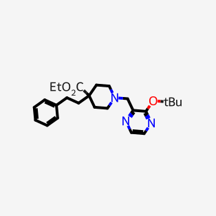 CCOC(=O)C1(CCc2ccccc2)CCN(Cc2nccnc2OC(C)(C)C)CC1